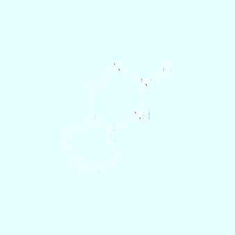 O=[n+]1ncc2ccccc2[nH]1